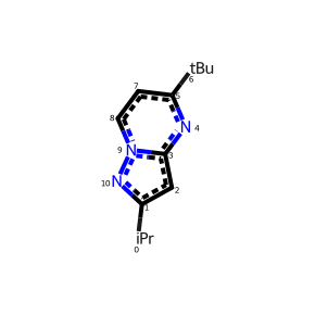 CC(C)c1cc2nc(C(C)(C)C)ccn2n1